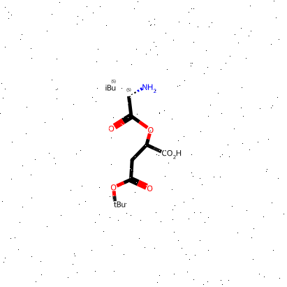 CC[C@H](C)[C@H](N)C(=O)OC(CC(=O)OC(C)(C)C)C(=O)O